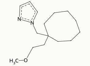 COCCC1(Cn2cccn2)CCCCCCC1